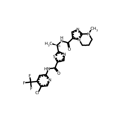 C[C@@H](NC(=O)c1cnc2n1CCCN2C)c1ncc(C(=O)Nc2cc(C(F)(F)F)c(Cl)cn2)s1